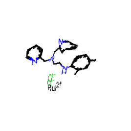 Cc1ccc(NCCN(Cc2ccccn2)Cc2ccccn2)c(C)c1.[Cl-].[Cl-].[Ru+2]